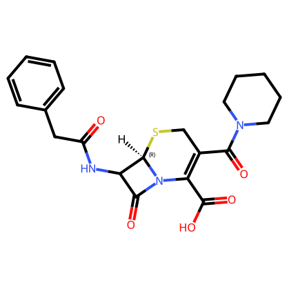 O=C(Cc1ccccc1)NC1C(=O)N2C(C(=O)O)=C(C(=O)N3CCCCC3)CS[C@H]12